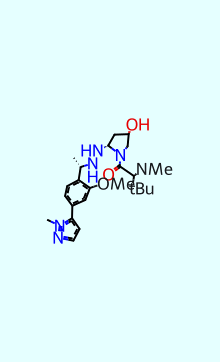 CN[C@H](C(=O)N1C[C@H](O)C[C@H]1NN[C@@H](C)c1ccc(-c2ccnn2C)cc1OC)C(C)(C)C